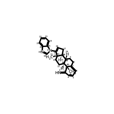 C[C@]12C(=N)C=CC=C1CC[C@@H]1[C@@H]2CC[C@]2(C)C(n3cnc4ccccc43)=CC[C@@H]12